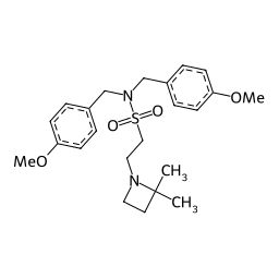 COc1ccc(CN(Cc2ccc(OC)cc2)S(=O)(=O)CCN2CCC2(C)C)cc1